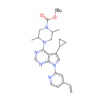 C=Cc1ccnc(-n2cc(C3CC3)c3c(N4CC(C)N(C(=O)OC(C)(C)C)CC4C)ncnc32)c1